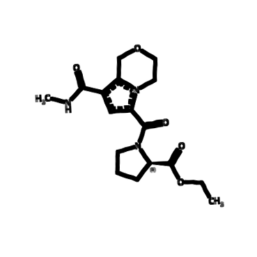 CCOC(=O)[C@H]1CCCN1C(=O)c1cc(C(=O)NC)c2n1CCOC2